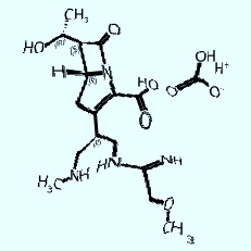 CNC[C@H](CNC(=N)COC)C1=C(C(=O)O)N2C(=O)[C@H]([C@@H](C)O)[C@H]2C1.O=C([O-])O.[H+]